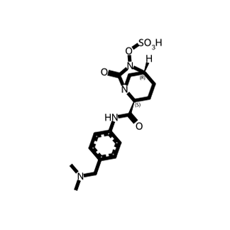 CN(C)Cc1ccc(NC(=O)[C@@H]2CC[C@@H]3CN2C(=O)N3OS(=O)(=O)O)cc1